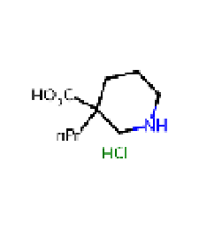 CCCC1(C(=O)O)CCCNC1.Cl